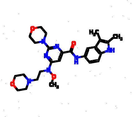 CON(CCN1CCOCC1)c1cc(C(=O)Nc2ccc3[nH]c(C)c(C)c3c2)nc(N2CCOCC2)n1